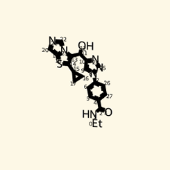 CCNC(=O)c1ccc(-n2cc(C(O)c3c(C4CC4)sc4cncn34)nn2)cc1